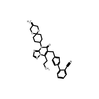 C=C1COC2(CCC(n3c(=O)c(Cc4ccc(-c5ccccc5C#N)cc4)c(CCC)n4ncnc34)CC2)OC1